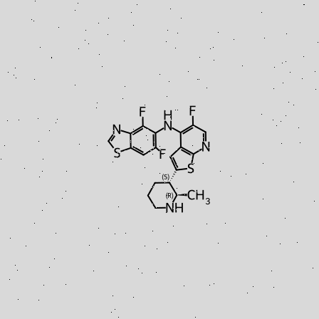 C[C@H]1NCCC[C@@H]1c1cc2c(Nc3c(F)cc4scnc4c3F)c(F)cnc2s1